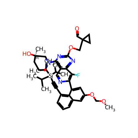 COCOc1cc(-c2ncc3c(N4CCC[C@@](C)(O)C4)nc(OCC4(C=O)CC4)nc3c2F)c2c(C#C[Si](C(C)C)(C(C)C)C(C)C)cccc2c1